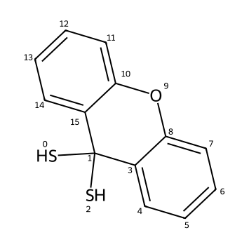 SC1(S)c2ccccc2Oc2ccccc21